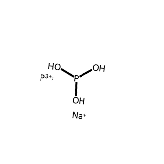 OP(O)O.[Na+].[P+3]